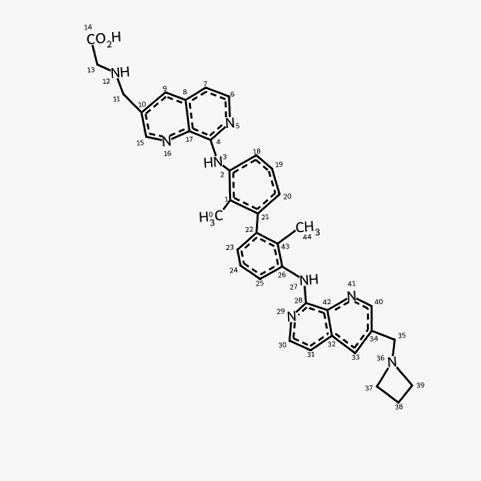 Cc1c(Nc2nccc3cc(CNCC(=O)O)cnc23)cccc1-c1cccc(Nc2nccc3cc(CN4CCC4)cnc23)c1C